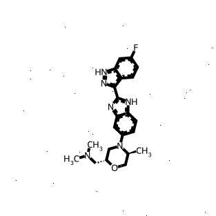 C[C@H]1CO[C@H](CN(C)C)CN1c1ccc2[nH]c(-c3n[nH]c4cc(F)ccc34)nc2c1